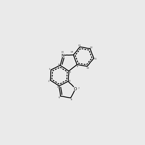 C1=c2ccc3c(c2OC1)-c1ccccc1N=3